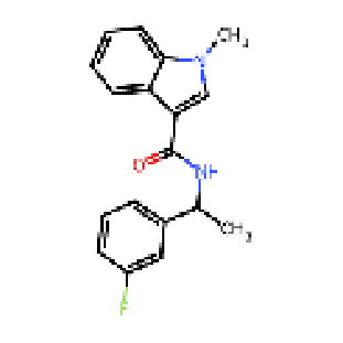 CC(NC(=O)c1cn(C)c2ccccc12)c1cccc(F)c1